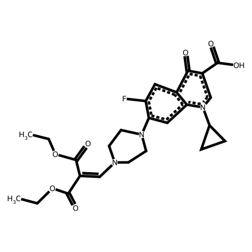 CCOC(=O)C(=CN1CCN(c2cc3c(cc2F)c(=O)c(C(=O)O)cn3C2CC2)CC1)C(=O)OCC